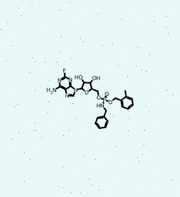 Cc1ccccc1COP(=O)(NCc1ccccc1)OCC1OC(n2cnc3c(N)nc(F)nc32)C(O)C1O